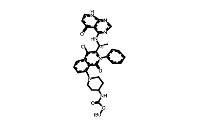 C[C@H](Nc1ncnc2[nH]ccc(=O)c12)c1c(Cl)c2cccc(N3CCC(NC(=O)OC(C)(C)C)CC3)c2c(=O)n1-c1ccccc1